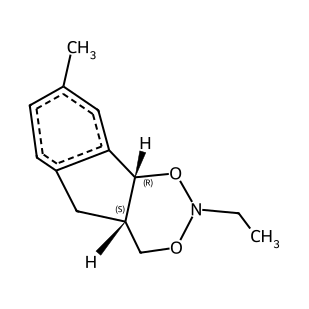 CCN1OC[C@@H]2Cc3ccc(C)cc3[C@@H]2O1